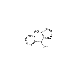 CC(C)(C)C(c1ccccc1)c1ccccc1O